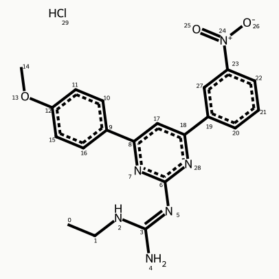 CCNC(N)=Nc1nc(-c2ccc(OC)cc2)cc(-c2cccc([N+](=O)[O-])c2)n1.Cl